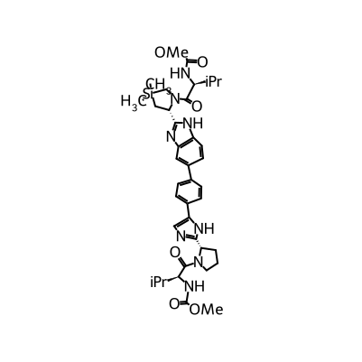 COC(=O)N[C@H](C(=O)N1CCC[C@H]1c1ncc(-c2ccc(-c3ccc4[nH]c([C@@H]5C[Si](C)(C)CN5C(=O)[C@@H](NC(=O)OC)C(C)C)nc4c3)cc2)[nH]1)C(C)C